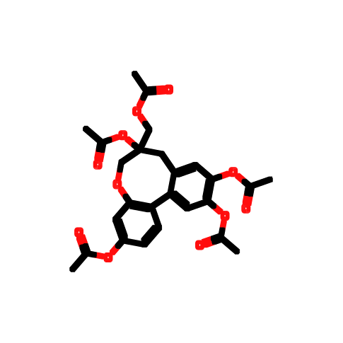 CC(=O)OCC1(OC(C)=O)COc2cc(OC(C)=O)ccc2-c2cc(OC(C)=O)c(OC(C)=O)cc2C1